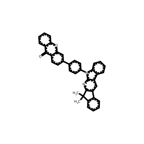 CC1(C)c2ccccc2-c2cc3c4ccccc4n(-c4ccc(-c5ccc6c(=O)c7ccccc7oc6c5)cc4)c3nc21